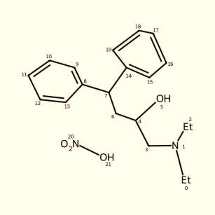 CCN(CC)CC(O)CC(c1ccccc1)c1ccccc1.O=[N+]([O-])O